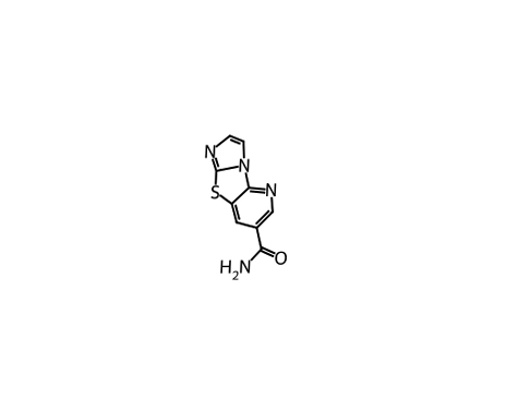 NC(=O)c1cnc2c(c1)sc1nccn12